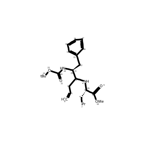 C=CCC(N[C@@H](CC(C)C)C(=O)OC)[C@H](Cc1ccccc1)NC(=O)OC(C)(C)C